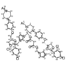 CC(=O)N1CCN(c2ccc(OC[C@@H]3CO[C@@](Cn4cc[n+](COC(=O)CC(=O)OC[n+]5ccn(C[C@@]6(c7ccc(Cl)cc7Cl)OC[C@@H](COc7ccc(N8CCN(C(C)=O)CC8)cc7)O6)c5)c4)(c4ccc(Cl)cc4Cl)O3)cc2)CC1